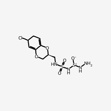 NN[S+]([O-])NS(=O)(=O)NC[C@H]1COC2=CC(Cl)CC=C2O1